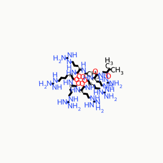 CC(=O)N[C@@H](CCCNC(=N)N)C(=O)N[C@@H](CCCCNC(=N)N)C(=O)N[C@@H](CCCNC(=N)N)C(=O)N[C@@H](CCCNC(=N)N)C(=O)N[C@@H](CCCNC(=N)N)C(=O)N[C@@H](CCCNC(=N)N)C(=O)NCC(=O)C(C)C